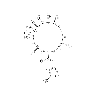 CC(=Cc1coc(C)n1)[C@@H]1C/C=C(/C)CCC[C@H](C)[C@H](O)[C@@H](C)C(=O)C(C)(C)[C@@H](O)CC(=O)O1